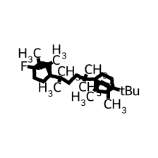 CC1=C(C)C2(C(C)(C)CCC(C)(C)C34CCC(C(C)(C)C)(CC3)C(C)=C4C)CCC1(F)CC2